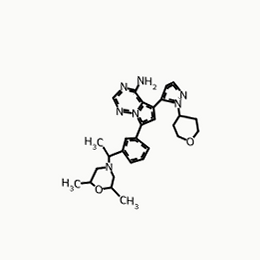 CC1CN(C(C)c2cccc(-c3cc(-c4ccnn4C4CCOCC4)c4c(N)ncnn34)c2)CC(C)O1